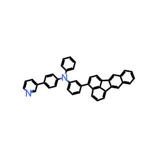 c1ccc(N(c2ccc(-c3cccnc3)cc2)c2cccc(-c3ccc4c5c(cccc35)-c3cc5ccccc5cc3-4)c2)cc1